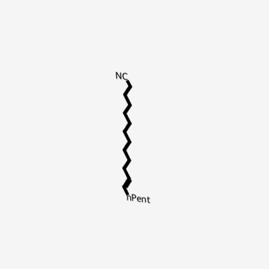 CCCCCC=CCCCCCCCCCCC#N